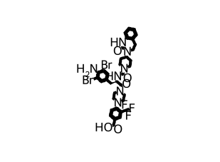 Nc1c(Br)cc(C[C@@H](NC(=O)N2CCC(N3CCc4ccccc4NC3=O)CC2)C(=O)N2CCN(c3ccc(C(=O)O)cc3C(F)(F)F)CC2)cc1Br